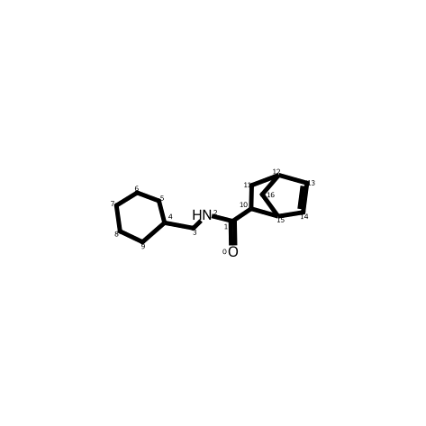 O=C(NCC1CCCCC1)C1CC2C=CC1C2